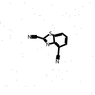 N#Cc1nc2c(C#N)cccc2s1